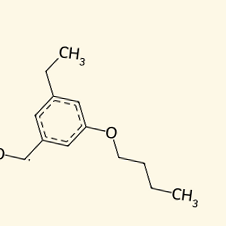 CCCCOc1cc([CH]O)cc(CC)c1